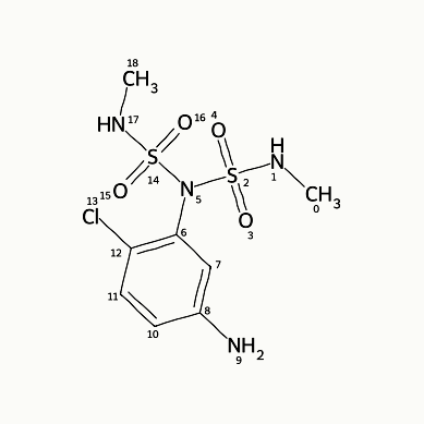 CNS(=O)(=O)N(c1cc(N)ccc1Cl)S(=O)(=O)NC